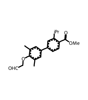 COC(=O)c1ccc(-c2cc(C)c(OCC=O)c(C)c2)cc1C(C)C